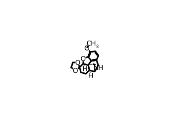 COc1ccc2c3c1O[C@@H]1C4(CC[C@@H]5C(C2)NCC[C@]351)OCCO4